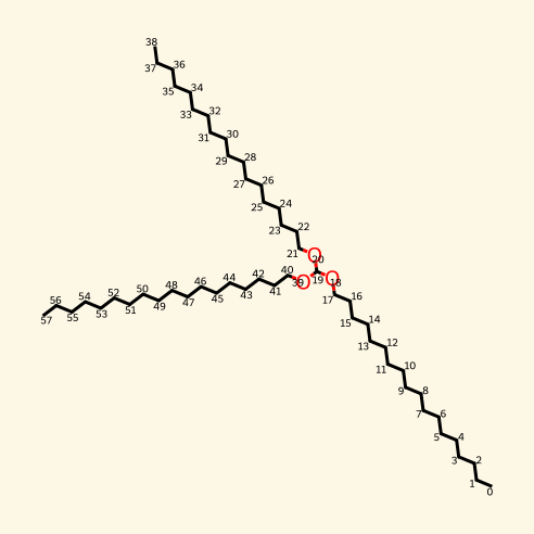 CCCCCCCCCCCCCCCCCCOC(OCCCCCCCCCCCCCCCCCC)OCCCCCCCCCCCCCCCCCC